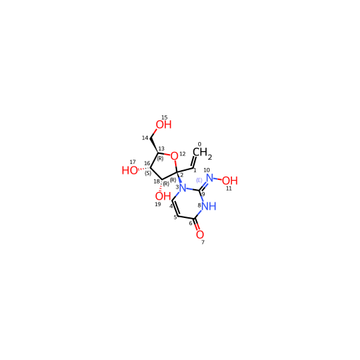 C=C[C@@]1(n2ccc(=O)[nH]/c2=N\O)O[C@H](CO)[C@@H](O)[C@H]1O